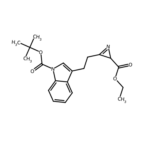 CCOC(=O)C1N=C1CCc1cn(C(=O)OC(C)(C)C)c2ccccc12